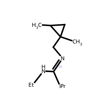 CCN/C(=N\CC1(C)CC1C)C(C)C